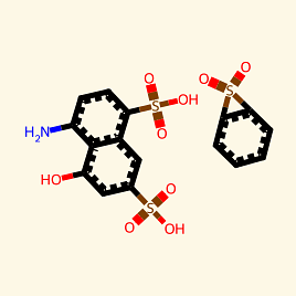 Nc1ccc(S(=O)(=O)O)c2cc(S(=O)(=O)O)cc(O)c12.O=S1(=O)c2ccccc21